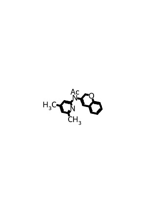 CC(=O)N(C1=Cc2ccccc2OC1)c1cc(C)cc(C)n1